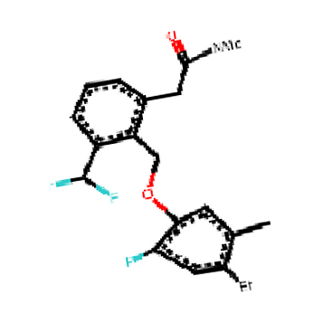 CCc1cc(F)c(OCc2c(CC(=O)NC)cccc2C(F)F)cc1C